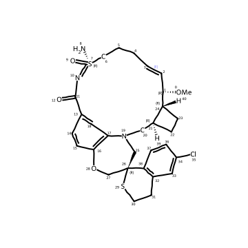 CO[C@H]1/C=C/CCC[S@](N)(=O)=NC(=O)c2ccc3c(c2)N(C[C@@H]2CC[C@H]21)C[C@]1(CO3)SCCc2cc(Cl)ccc21